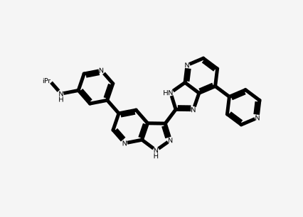 CC(C)Nc1cncc(-c2cnc3[nH]nc(-c4nc5c(-c6ccncc6)ccnc5[nH]4)c3c2)c1